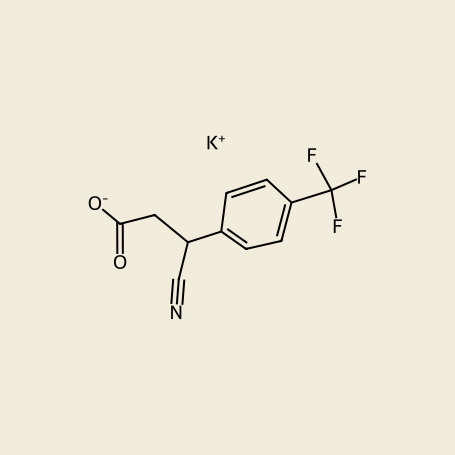 N#CC(CC(=O)[O-])c1ccc(C(F)(F)F)cc1.[K+]